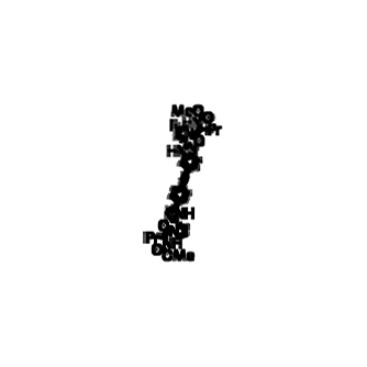 COC(=O)N[C@H](C(=O)N1CCC[C@H]1c1ncc(-c2ccc(C#Cc3ccc4nc([C@@H]5C[C@@H](F)CN5C(=O)[C@@H](NC(=O)OC)C(C)C)[nH]c4c3)cc2)[nH]1)C(C)C